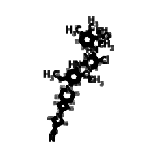 CCc1cc(Nc2ncc(Cl)c(Nc3ccc(C)c(C)c3P(C)(C)=O)n2)c(OC)cc1N1CCC2(CC1)CC(N1CC(C#N)C1)C2